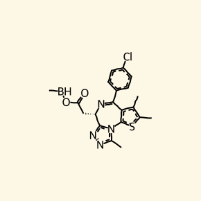 CBOC(=O)C[C@@H]1N=C(c2ccc(Cl)cc2)c2c(sc(C)c2C)-n2c(C)nnc21